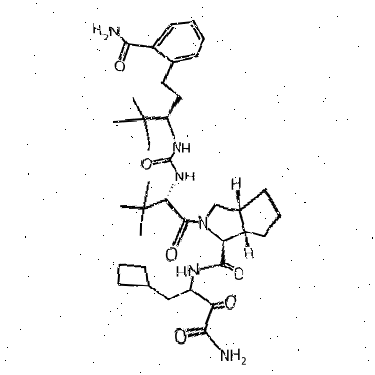 CC(C)(C)[C@H](NC(=O)N[C@H](CCc1ccccc1C(N)=O)C(C)(C)C)C(=O)N1C[C@@H]2CCC[C@@H]2[C@H]1C(=O)NC(CC1CCC1)C(=O)C(N)=O